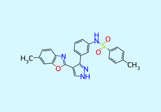 Cc1ccc(S(=O)(=O)Nc2cccc(-c3n[nH]cc3-c3nc4ccc(C)cc4o3)c2)cc1